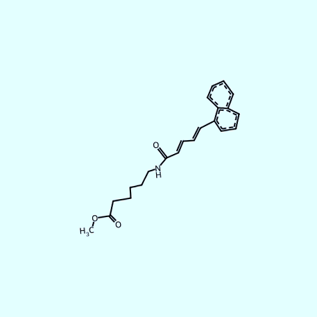 COC(=O)CCCCCNC(=O)C=CC=Cc1cccc2ccccc12